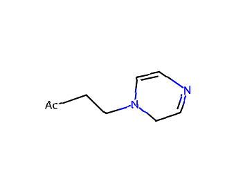 CC(=O)CCN1C=CN=CC1